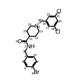 O=C(NCc1ccc(Br)cc1)C1CCN(Sc2cc(Cl)cc(Cl)c2)CC1